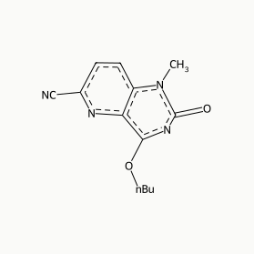 CCCCOc1nc(=O)n(C)c2ccc(C#N)nc12